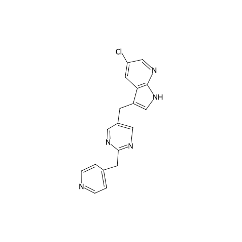 Clc1cnc2[nH]cc(Cc3cnc(Cc4ccncc4)nc3)c2c1